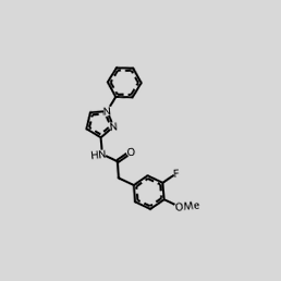 COc1ccc(CC(=O)Nc2ccn(-c3ccccc3)n2)cc1F